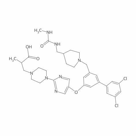 CNC(=O)NCC1CCN(Cc2cc(Oc3cnc(N4CCN(CC(C)C(=O)O)CC4)nc3)cc(-c3cc(Cl)cc(Cl)c3)c2)CC1